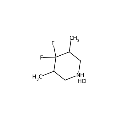 CC1CNCC(C)C1(F)F.Cl